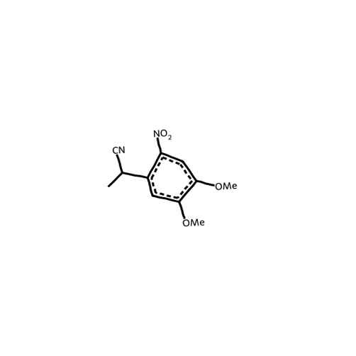 COc1cc(C(C)C#N)c([N+](=O)[O-])cc1OC